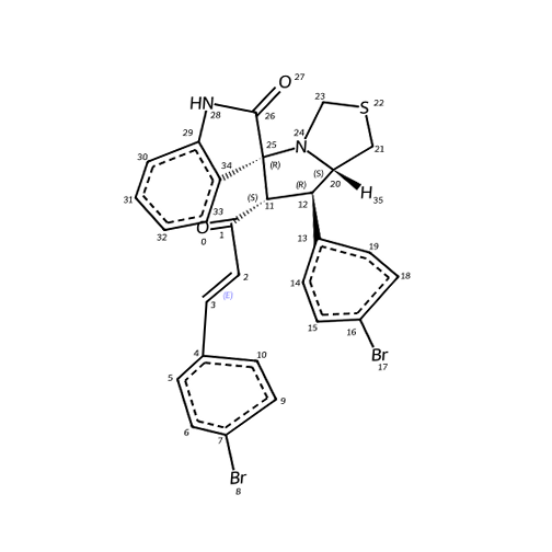 O=C(/C=C/c1ccc(Br)cc1)[C@H]1[C@H](c2ccc(Br)cc2)[C@H]2CSCN2[C@]12C(=O)Nc1ccccc12